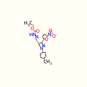 CCOC(=O)N/N=C/c1cn(-c2ccc(C)cc2)nc1-c1ccc([N+](=O)[O-])o1